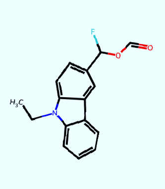 CCn1c2ccccc2c2cc(C(F)OC=O)ccc21